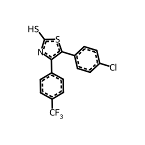 FC(F)(F)c1ccc(-c2nc(S)sc2-c2ccc(Cl)cc2)cc1